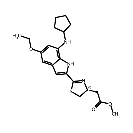 CCOc1cc(NC2CCCC2)c2[nH]c(C3=N[C@@H](CC(=O)OC)CS3)cc2c1